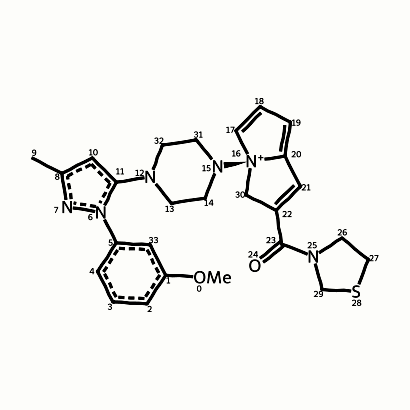 COc1cccc(-n2nc(C)cc2N2CCN([N@@+]34C=CC=C3C=C(C(=O)N3CCSC3)C4)CC2)c1